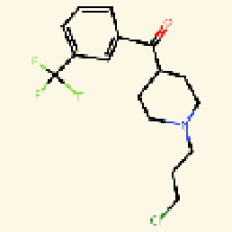 O=C(c1cccc(C(F)(F)F)c1)C1CCN(CCCCl)CC1